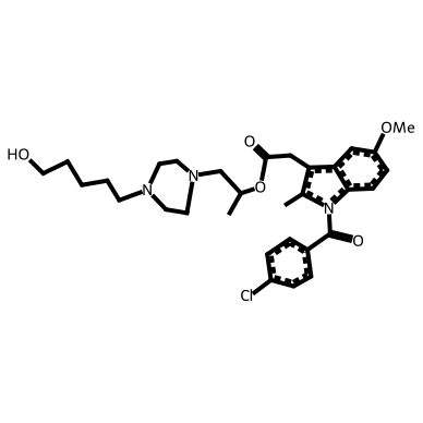 COc1ccc2c(c1)c(CC(=O)OC(C)CN1CCN(CCCCCO)CC1)c(C)n2C(=O)c1ccc(Cl)cc1